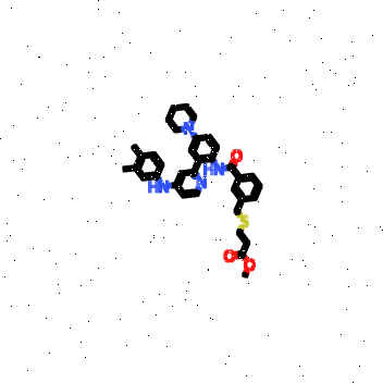 COC(=O)CCSCc1cccc(C(=O)Nc2ccc(N3CCCCC3)cc2-c2cc(Nc3ccc(C)c(C)c3)ccn2)c1